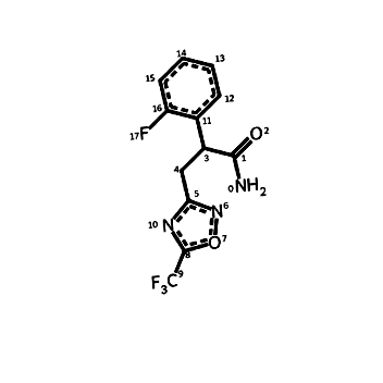 NC(=O)C(Cc1noc(C(F)(F)F)n1)c1ccccc1F